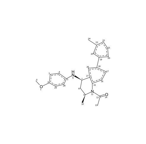 COc1ccc(N[C@@H]2C[C@H](C)N(C(C)=O)c3ccc(-c4cccc(C)c4)cc32)cc1